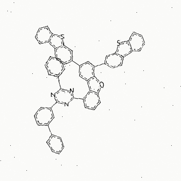 c1ccc(-c2cccc(-c3nc(-c4ccccc4)nc(-c4cccc5oc6c(-c7ccc8c(c7)sc7ccccc78)cc(-c7ccc8c(c7)sc7ccccc78)cc6c45)n3)c2)cc1